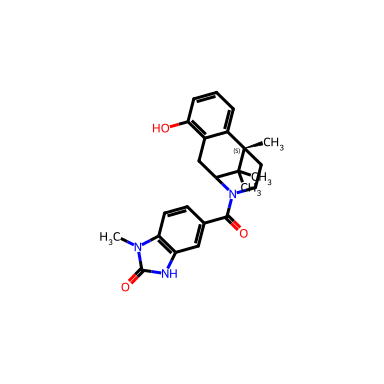 Cn1c(=O)[nH]c2cc(C(=O)N3CC[C@@]4(C)c5cccc(O)c5CC3C4(C)C)ccc21